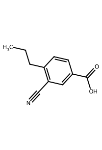 CCCc1ccc(C(=O)O)cc1C#N